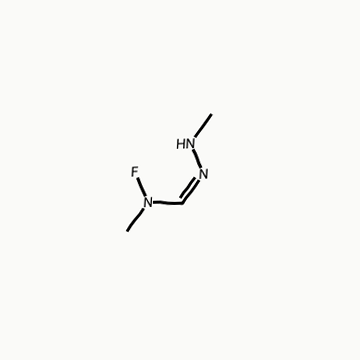 CN/N=C\N(C)F